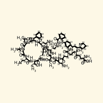 CNC(=O)c1ccccc1Sc1ccc2c(/C=C/c3ccccn3)nn(C(=O)N(CCC(=O)NC(CCN)C(=O)N[C@H](C(=O)N[C@@H](CCN)C(=O)N[C@H]3CCNC(=O)[C@H]([C@@H](C)O)NC(=O)[C@H](CCN)NC(=O)[C@H](CCN)NC(=O)[C@H](CC(C)C)NC(=O)[C@@H](Cc4ccccc4)NC(=O)[C@H](CCN)NC3=O)[C@@H](C)O)CCN(C)C(=O)CC[C@H](N)C(=O)O)c2c1